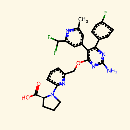 Cc1cc(-c2c(OCc3cccc(N4CCC[C@H]4C(=O)O)n3)nc(N)nc2-c2ccc(F)cc2)cc(C(F)F)n1